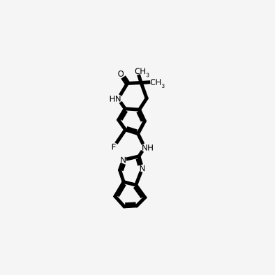 CC1(C)Cc2cc(Nc3ncc4ccccc4n3)c(F)cc2NC1=O